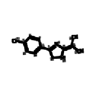 N#CC(C#N)=C1N=C(c2ccc(Cl)cc2)C[Se]1